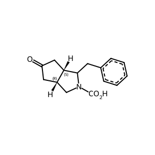 O=C1C[C@H]2CN(C(=O)O)C(Cc3ccccc3)[C@H]2C1